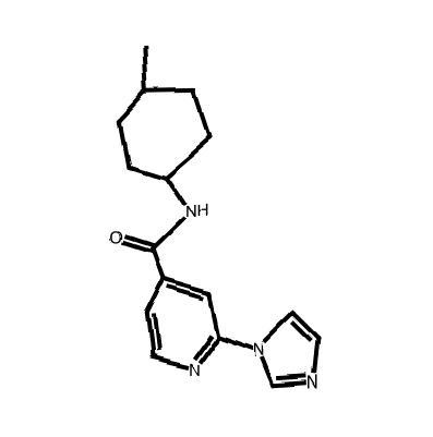 CC1CCC(NC(=O)c2ccnc(-n3ccnc3)c2)CC1